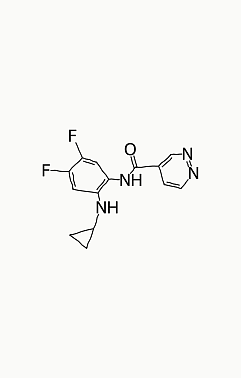 O=C(Nc1cc(F)c(F)cc1NC1CC1)c1ccnnc1